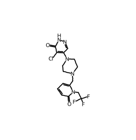 O=c1[nH]ncc(N2CCN(Cc3cccc(=O)n3CC(F)(F)F)CC2)c1Cl